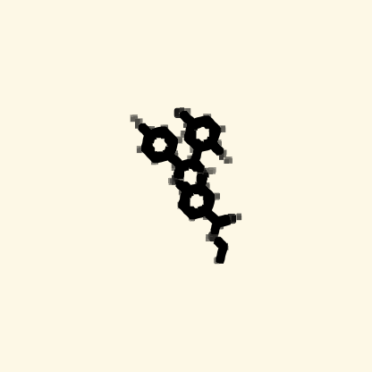 CCOC(=O)c1ccc2nc(-c3ccc(F)cc3)c(-c3cc(Cl)ccc3F)nc2c1